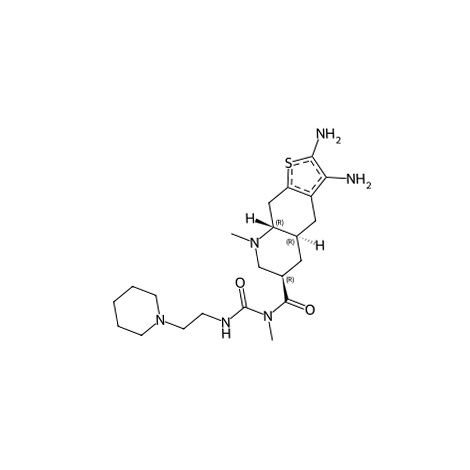 CN(C(=O)NCCN1CCCCC1)C(=O)[C@@H]1C[C@@H]2Cc3c(sc(N)c3N)C[C@H]2N(C)C1